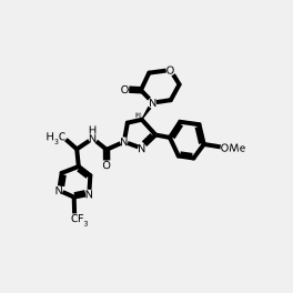 COc1ccc(C2=NN(C(=O)NC(C)c3cnc(C(F)(F)F)nc3)C[C@H]2N2CCOCC2=O)cc1